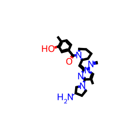 C=NN1C=C(C)C(N2CC[C@H](N)C2)=N/C1=C/C1CCCCN1C(=O)c1ccc(C)c(O)c1